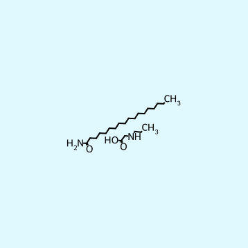 CCCCCCCCCCCCCCCCCC(N)=O.CCCNCC(=O)O